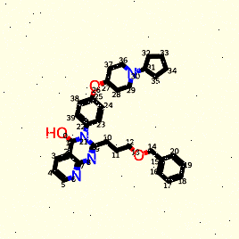 OC1c2cccnc2N=C(CCCOCc2ccccc2)N1c1ccc(OC2CCN(C3CCCC3)CC2)cc1